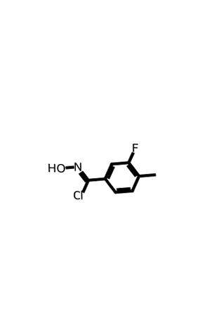 Cc1ccc(C(Cl)=NO)cc1F